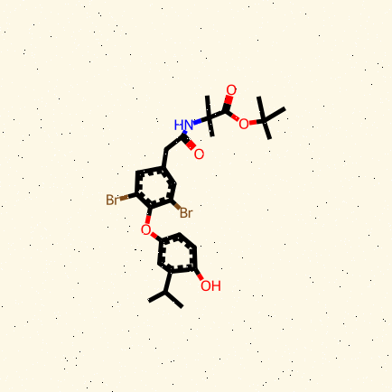 CC(C)c1cc(Oc2c(Br)cc(CC(=O)NC(C)(C)C(=O)OC(C)(C)C)cc2Br)ccc1O